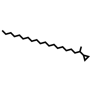 CCCCCCCCCCCCCCCCCCC(C)C1CC1